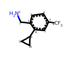 NCc1ccc(C(F)(F)F)cc1C1CC1